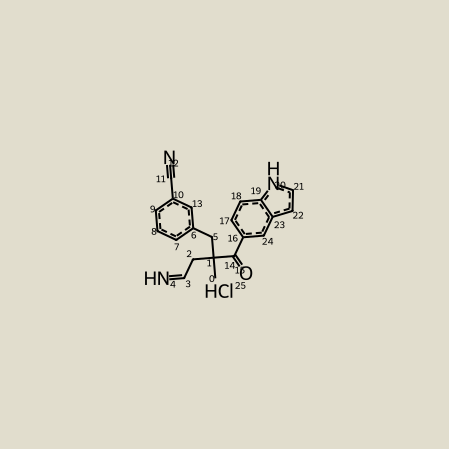 CC(CC=N)(Cc1cccc(C#N)c1)C(=O)c1ccc2[nH]ccc2c1.Cl